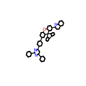 c1ccc(-c2cc(-c3ccc(-c4ccc5c(c4)C4(c6cc(-c7ccc8ccccc8n7)ccc6O5)c5ccccc5-c5ccccc54)cc3)nc(-c3ccccc3)n2)cc1